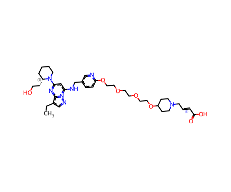 CCc1cnn2c(NCc3ccc(OCCOCCOCCOC4CCN(C/C=C/C(=O)O)CC4)nc3)cc(N3CCCC[C@H]3CCO)nc12